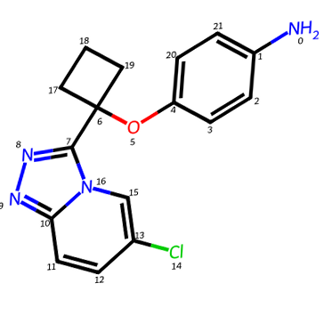 Nc1ccc(OC2(c3nnc4ccc(Cl)cn34)CCC2)cc1